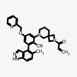 C=CC(=O)N1CC2(CCCN(c3cc(OCc4ccccn4)cc(-c4c(C)ccc5[nH]ncc45)c3C#N)C2)C1